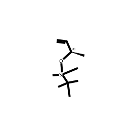 C=C[C@@H](C)O[Si](C)(C)C(C)(C)C